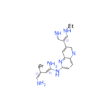 CCN/C=C(\C=N)c1cnc2ccc(N/C(N)=C/C(=C\N)C(C)C)nc2c1